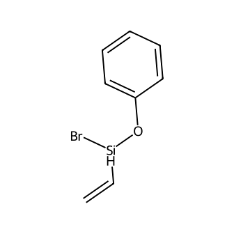 C=C[SiH](Br)Oc1ccccc1